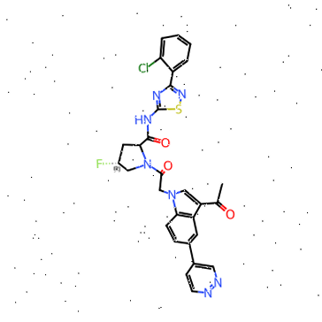 CC(=O)c1cn(CC(=O)N2C[C@H](F)CC2C(=O)Nc2nc(-c3ccccc3Cl)ns2)c2ccc(-c3ccnnc3)cc12